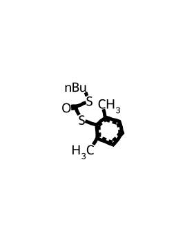 CCCCSC(=O)Sc1c(C)cccc1C